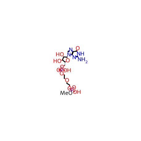 COP(=O)(O)OCCOCCOP(=O)(O)OC[C@H]1O[C@@H](n2cnc3c(=O)[nH]c(N)nc32)[C@H](O)[C@@H]1O